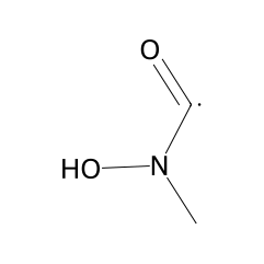 CN(O)[C]=O